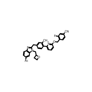 CC(=O)c1ccc2nc(Cc3ccc(-c4cccc(OCc5ccc(C#N)cc5F)n4)c(C)c3)n(CC3CCO3)c2c1